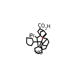 CC(C)C(C12C=CC(C1)C(C(=O)O)C2)C(C1CCCCC1)(C1CCCCC1)C12CC3CC(CC(O)(C3)C1)C2